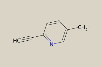 C#Cc1ccc([CH2])cn1